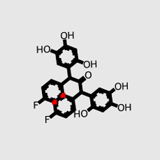 O=C(C(c1ccc(F)cc1)c1cc(O)c(O)cc1O)C(c1ccc(F)cc1)c1cc(O)c(O)cc1O